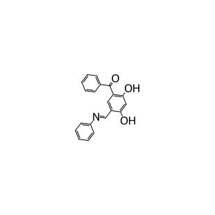 O=C(c1ccccc1)c1cc(C=Nc2ccccc2)c(O)cc1O